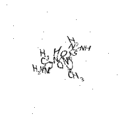 Cc1cc(NC(=O)C(=O)N2C[C@@H](C)CC[C@@H]2c2cc(N)c(C=N)s2)cnc1N